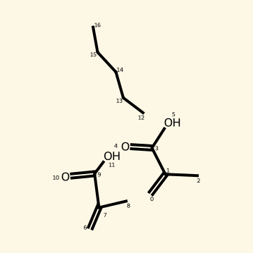 C=C(C)C(=O)O.C=C(C)C(=O)O.CCCCC